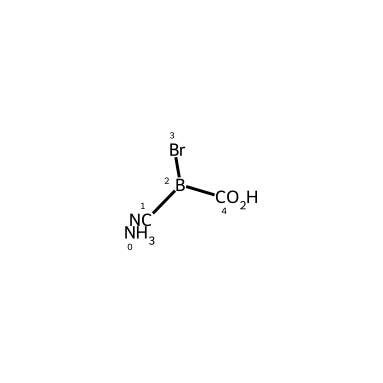 N.N#CB(Br)C(=O)O